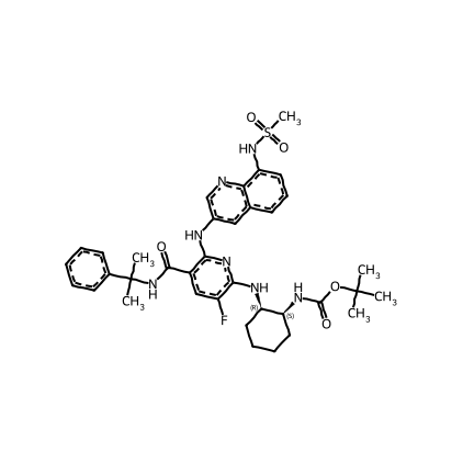 CC(C)(C)OC(=O)N[C@H]1CCCC[C@H]1Nc1nc(Nc2cnc3c(NS(C)(=O)=O)cccc3c2)c(C(=O)NC(C)(C)c2ccccc2)cc1F